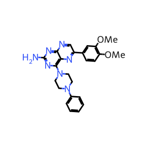 COc1ccc(-c2cnc3nc(N)nc(N4CCN(c5ccccc5)CC4)c3n2)cc1OC